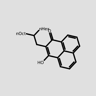 CCCCCCCCC(CCCCCC)CC1=C(O)c2cccc3cccc(c23)C1=O